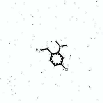 CN(C)c1cc(Cl)ccc1CN